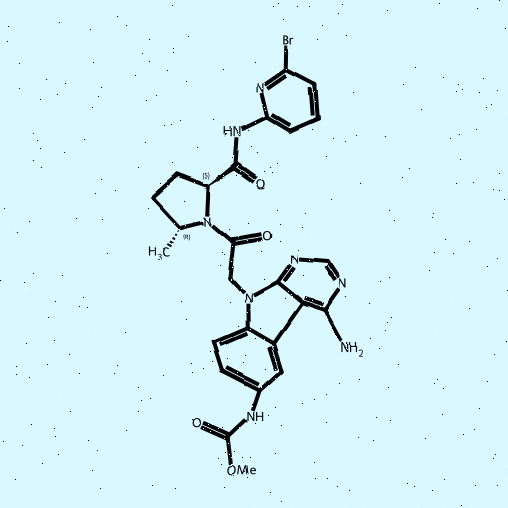 COC(=O)Nc1ccc2c(c1)c1c(N)ncnc1n2CC(=O)N1[C@H](C)CC[C@H]1C(=O)Nc1cccc(Br)n1